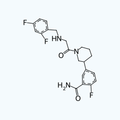 NC(=O)c1cc(C2CCCN(C(=O)CNCc3ccc(F)cc3F)C2)ccc1F